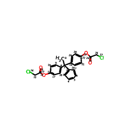 CC(c1ccccc1)(c1ccc(OC(=O)CCl)cc1)c1ccc(OC(=O)CCl)cc1